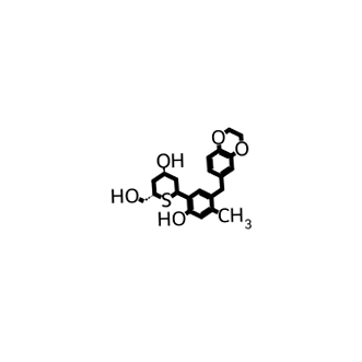 Cc1cc(O)c(C2C[C@@H](O)C[C@@H](CO)S2)cc1Cc1ccc2c(c1)OCCO2